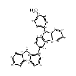 Cc1ccc(N2c3ccc(-c4cccc5c4oc4ccccc45)cc3C3C=CC=CC32)cc1